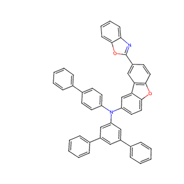 c1ccc(-c2ccc(N(c3cc(-c4ccccc4)cc(-c4ccccc4)c3)c3ccc4oc5ccc(-c6nc7ccccc7o6)cc5c4c3)cc2)cc1